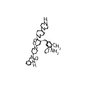 Cc1cc(C[C@@H](CC(=O)N2CCC(N3Cc4ccccc4NC3=O)CC2)C(=O)N2CCC(N3CCNCC3)CC2)cc(Cl)c1N